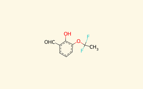 CC(F)(F)Oc1cccc(C=O)c1O